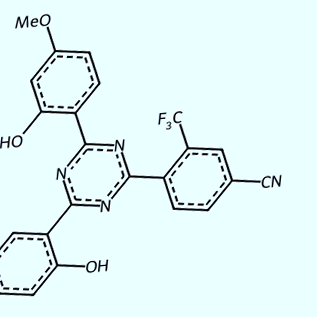 COc1ccc(-c2nc(-c3ccccc3O)nc(-c3ccc(C#N)cc3C(F)(F)F)n2)c(O)c1